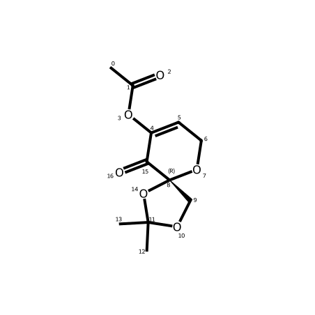 CC(=O)OC1=CCO[C@@]2(COC(C)(C)O2)C1=O